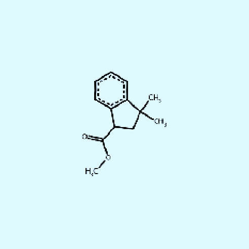 COC(=O)C1CC(C)(C)c2ccccc21